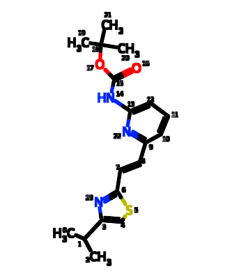 CC(C)c1csc(/C=C/c2cccc(NC(=O)OC(C)(C)C)n2)n1